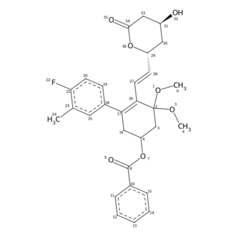 COC1(OC)CC(OC(=O)c2ccccc2)CC(c2ccc(F)c(C)c2)=C1C=C[C@H]1C[C@H](O)CC(=O)O1